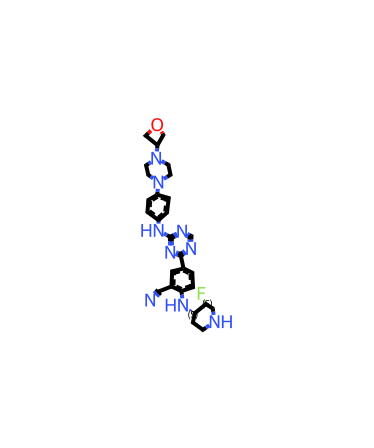 N#Cc1cc(-c2ncnc(Nc3ccc(N4CCN(C5COC5)CC4)cc3)n2)ccc1N[C@H]1CCNC[C@@H]1F